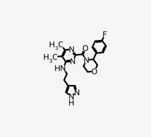 Cc1nc(C(=O)N2CCOCC2c2ccc(F)cc2)nc(NCCc2cn[nH]c2)c1C